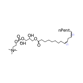 CCCCC/C=C\C/C=C\CCCCCCCC(=O)OCC(O)COP(=O)(O)OCC[N+](C)(C)C